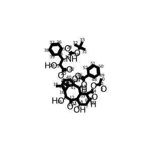 CC(=O)OC1O[C@@H]2C[C@H](O)[C@@]3(C)C(=O)[C@H](O)C4=C(C)[C@@H](OC(=O)[C@H](O)[C@@H](NC(=O)OC(C)(C)C)c5ccccc5)C[C@@](O)([C@@H](OC(=O)c5ccccc5)[C@@H]3C12)C4(C)C